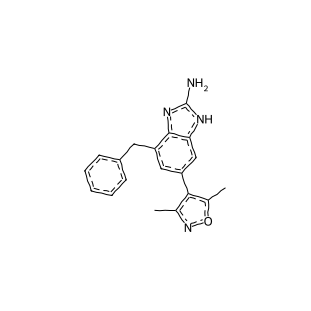 Cc1noc(C)c1-c1cc(Cc2ccccc2)c2nc(N)[nH]c2c1